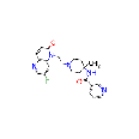 CC1(NC(=O)c2cccnc2)CCN(CCn2c(=O)ccc3ncc(F)cc32)CC1